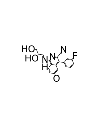 COc1ccc2c(NCC(O)CO)nc(C#N)c(-c3cccc(F)c3)c2c1